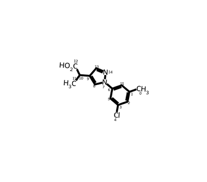 Cc1cc(Cl)cc(-n2cc(C(C)C(=O)O)cn2)c1